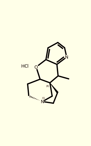 CC1c2ncccc2OC2CC[N@@]3CC[C@@]21C3.Cl